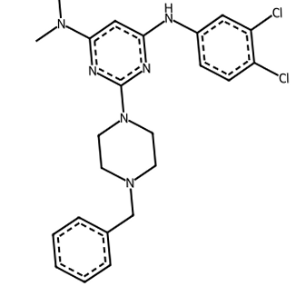 CN(C)c1cc(Nc2ccc(Cl)c(Cl)c2)nc(N2CCN(Cc3ccccc3)CC2)n1